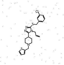 C=CCn1c(SCc2cccc(Cl)c2)nnc1C1CCN(Cc2cccs2)CC1